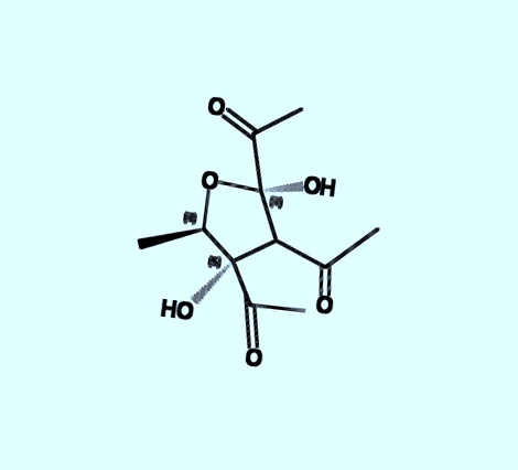 CC(=O)C1[C@](O)(C(C)=O)O[C@H](C)[C@]1(O)C(C)=O